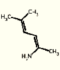 CC(C)=C/C=C(/C)N